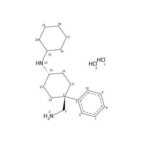 Cl.Cl.NC[C@]1(c2ccccc2)CC[C@@H](NC2CCCCC2)CC1